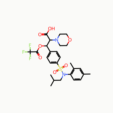 Cc1ccc(N(CC(C)C)S(=O)(=O)c2ccc(C(OC(=O)C(F)(F)F)C(C(=O)O)N3CCOCC3)cc2)c(C)c1